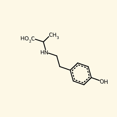 CC(NCCc1ccc(O)cc1)C(=O)O